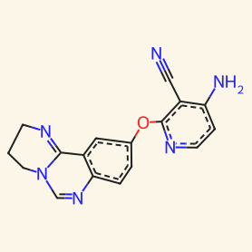 N#Cc1c(N)ccnc1Oc1ccc2c(c1)C1=NCCCN1C=N2